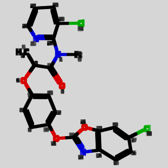 CCN(C(=O)C(C)Oc1ccc(Oc2nc3ccc(Cl)cc3o2)cc1)c1ncccc1Cl